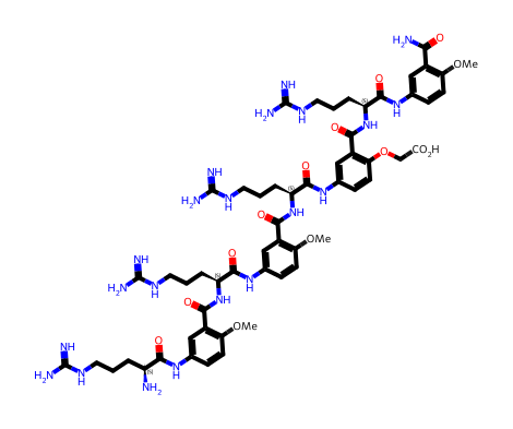 COc1ccc(NC(=O)[C@H](CCCNC(=N)N)NC(=O)c2cc(NC(=O)[C@H](CCCNC(=N)N)NC(=O)c3cc(NC(=O)[C@H](CCCNC(=N)N)NC(=O)c4cc(NC(=O)[C@@H](N)CCCNC(=N)N)ccc4OC)ccc3OC)ccc2OCC(=O)O)cc1C(N)=O